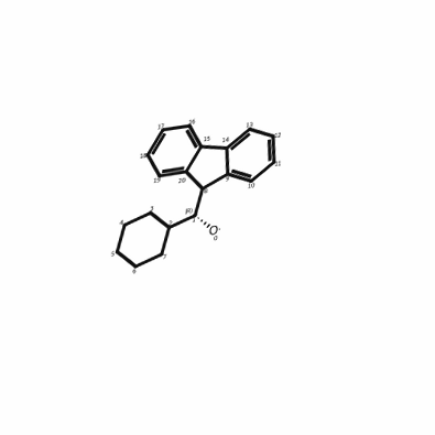 [O][C@H](C1CCCCC1)C1c2ccccc2-c2ccccc21